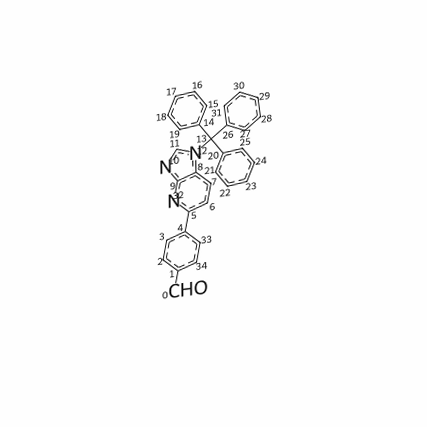 O=Cc1ccc(-c2ccc3c(ncn3C(c3ccccc3)(c3ccccc3)c3ccccc3)n2)cc1